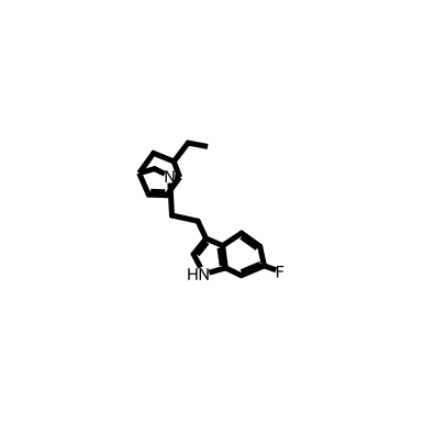 CCC1CC2C=CC1N(CCc1c[nH]c3cc(F)ccc13)C2